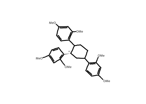 COc1ccc(C2CCC(c3ccc(OC)cc3OC)[C@@H](c3ccc(OC)cc3OC)C2)c(OC)c1